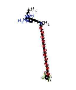 CCCCc1nc2c(N)nc3ccc(CCCCCN(C)CCOCCOCCOCCOCCOCCOCCOCCOCCOCCOCCC(=O)Oc4c(F)c(F)cc(F)c4F)cc3c2[nH]1